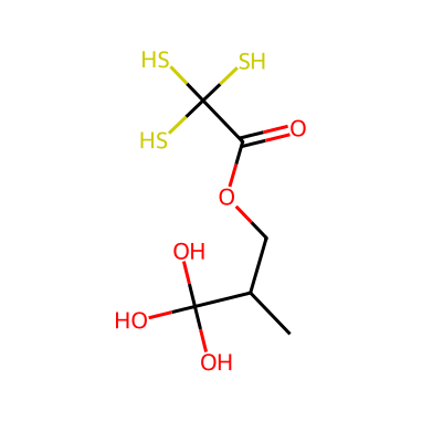 CC(COC(=O)C(S)(S)S)C(O)(O)O